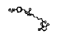 O=C(CCCCCNC(=O)OCc1ccc([N+](=O)[O-])cc1)ON1C(=O)CCC1=O